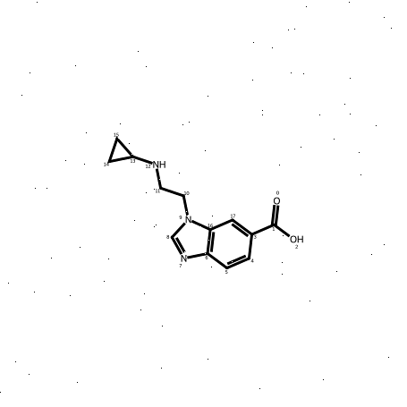 O=C(O)c1ccc2ncn(CCNC3CC3)c2c1